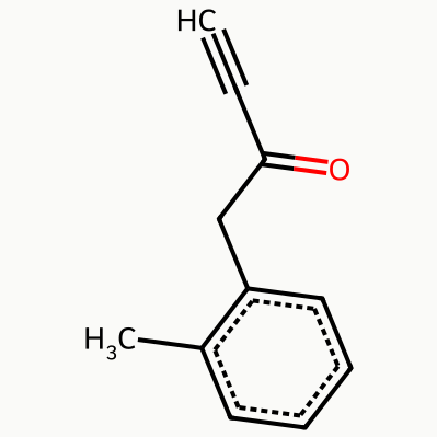 C#CC(=O)Cc1ccccc1C